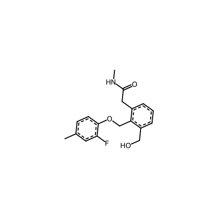 CNC(=O)Cc1cccc(CO)c1COc1ccc(C)cc1F